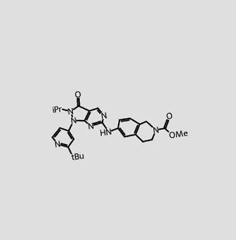 COC(=O)N1CCc2cc(Nc3ncc4c(=O)n(C(C)C)n(-c5ccnc(C(C)(C)C)c5)c4n3)ccc2C1